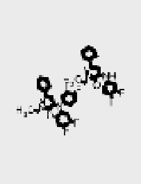 CCn1nc(-c2ccccc2)cc(N(c2ccc(F)c(F)c2)c2ccc(F)c(F)c2)c1=O.CCn1nc(-c2ccccc2)cc(Nc2ccc(F)c(F)c2)c1=O